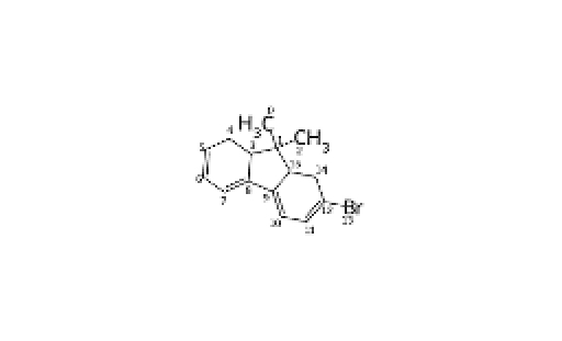 CC1(C)C2CC=CC=C2C2=CC=C(Br)CC21